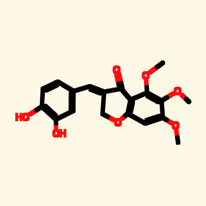 COc1cc2c(c(OC)c1OC)C(=O)/C(=C/c1ccc(O)c(O)c1)CO2